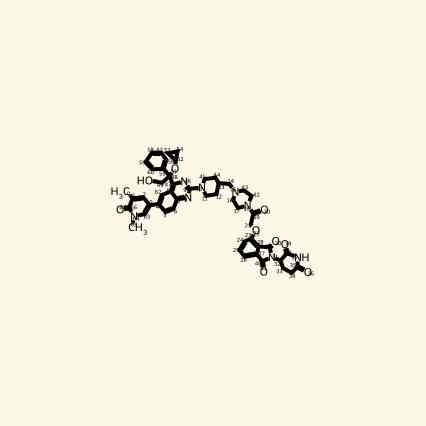 Cc1cc(-c2ccc3nc(N4CCC(CN5CCN(C(=O)COc6cccc7c6C(=O)N(C6CCC(=O)NC6=O)C7=O)CC5)CC4)nc(C(CO)(OC4CC4)c4ccccc4)c3c2)cn(C)c1=O